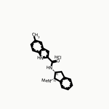 CN[C@H]1c2ccccc2C[C@H]1NC(=O)c1cc2cc(C)ccc2[nH]1.Cl